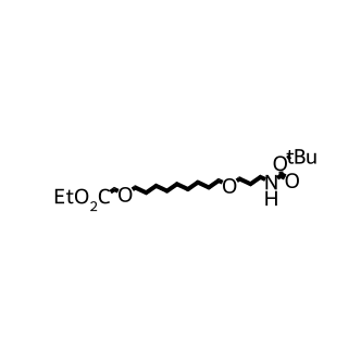 CCOC(=O)COCCCCCCCCCOCCCNC(=O)OC(C)(C)C